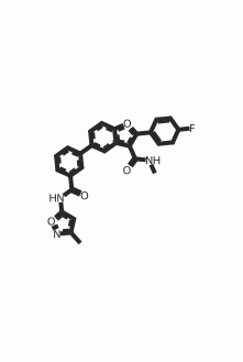 CNC(=O)c1c(C2=CCC(F)C=C2)oc2ccc(-c3cccc(C(=O)Nc4cc(C)no4)c3)cc12